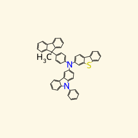 CC1(c2ccc(N(c3ccc4c(c3)sc3ccccc34)c3ccc4c(c3)c3ccccc3n4-c3ccccc3)cc2)c2ccccc2-c2ccccc21